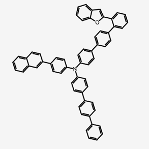 c1ccc(-c2ccc(-c3ccc(N(c4ccc(-c5ccc(-c6ccccc6-c6cc7ccccc7o6)cc5)cc4)c4ccc(-c5ccc6ccccc6c5)cc4)cc3)cc2)cc1